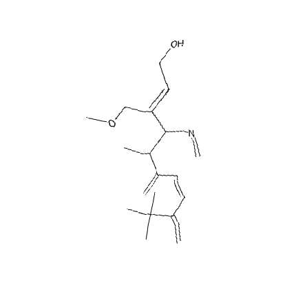 C=NC(/C(=C/CO)COC)C(C)C(=C)/C=C\C(=C)C(C)(C)C